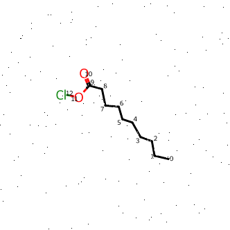 CCCCCCCCCC(=O)OCl